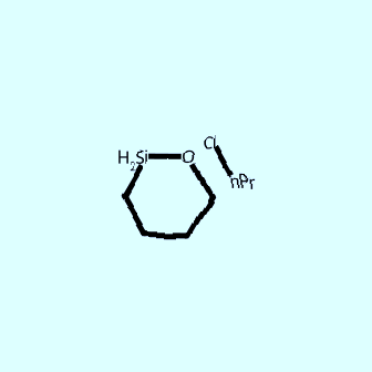 C1CC[SiH2]OC1.CCCCl